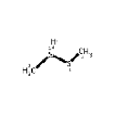 CSSC.[H]